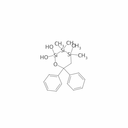 C[Si]1(C)CC(c2ccccc2)(c2ccccc2)O[Si](O)(O)[Si]1(C)C